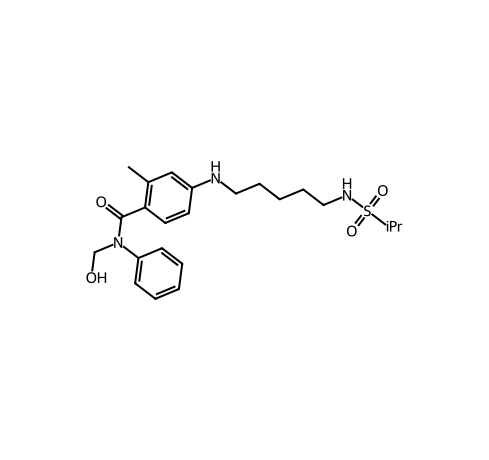 Cc1cc(NCCCCCNS(=O)(=O)C(C)C)ccc1C(=O)N(CO)c1ccccc1